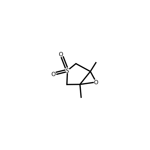 CC12CS(=O)(=O)CC1(C)O2